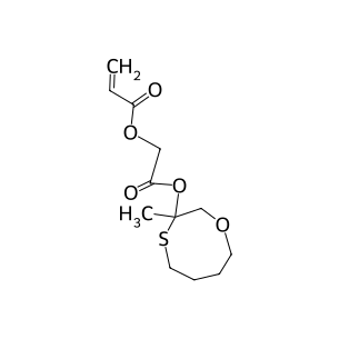 C=CC(=O)OCC(=O)OC1(C)COCCCCS1